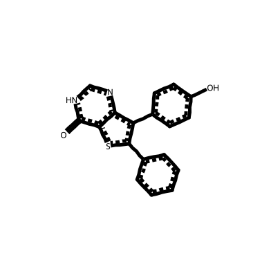 O=c1[nH]cnc2c(-c3ccc(O)cc3)c(-c3ccccc3)sc12